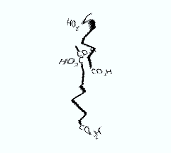 CC(=O)O.O=C(O)CCCCC(=O)O.O=C(O)CCCCCCC(=O)O